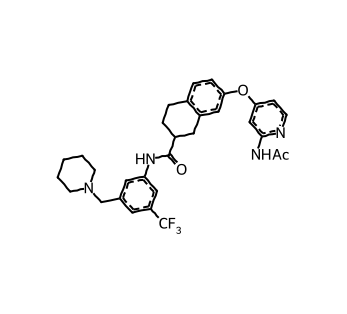 CC(=O)Nc1cc(Oc2ccc3c(c2)CC(C(=O)Nc2cc(CN4CCCCC4)cc(C(F)(F)F)c2)CC3)ccn1